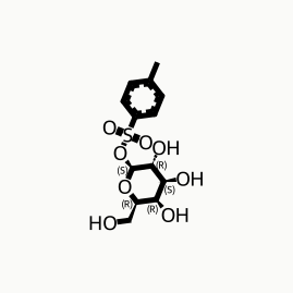 Cc1ccc(S(=O)(=O)O[C@@H]2O[C@H](CO)[C@H](O)[C@H](O)[C@H]2O)cc1